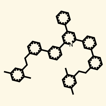 Cc1ccc(C)c(CCc2cccc(-c3cccc(-c4cc(-c5ccccc5)cc(-c5cccc(-c6cccc(CCc7cc(C)ccc7C)c6)c5)n4)c3)c2)c1